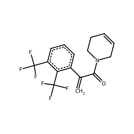 C=C(C(=O)N1CC=CCC1)c1cc[c]c(C(F)(F)F)c1C(F)(F)F